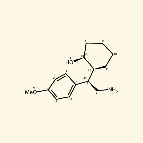 COc1ccc([C@H](CN)[C@@H]2CCCC[C@@H]2O)cc1